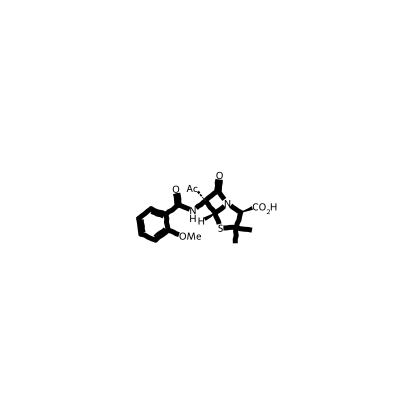 COc1ccccc1C(=O)N[C@@]1(C(C)=O)C(=O)N2[C@@H](C(=O)O)C(C)(C)S[C@@H]21